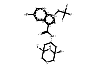 O=C(N[C@H]1C[C@H]2COC[C@@H](C1)N2)c1cn(CC(F)(F)F)c2ncc(F)cc12